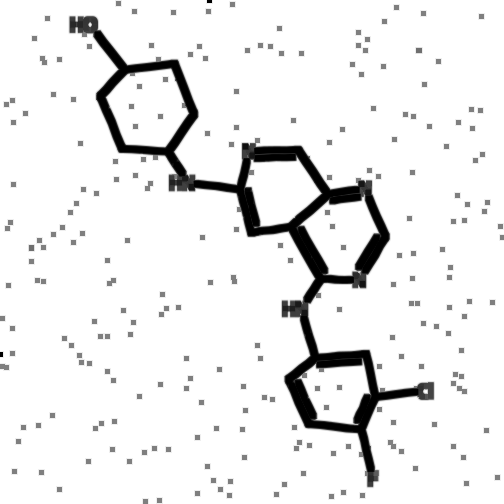 OC1CCC(Nc2cc3c(Nc4ccc(F)c(Cl)c4)ncnc3cn2)CC1